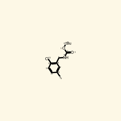 CC(C)(C)OC(=O)NCc1cc(I)ccc1Cl